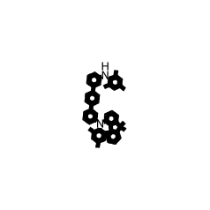 Cc1cc(C)c(Nc2cccc(-c3ccc(-c4cccc(N(c5cccc6c5-c5ccccc5C6(C)C)c5c(C)cc(C)cc5C)c4)cc3)c2)c(C)c1